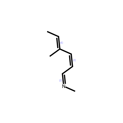 C/C=C(C)/C=C\C=N/C